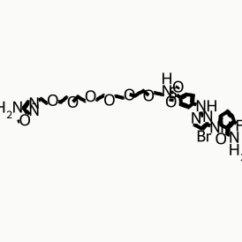 COc1nn(CCOCCOCCOCCOCCOCCOCCNS(=O)(=O)c2ccc(Nc3ncc(Br)c(Nc4cccc(F)c4C(N)=O)n3)cc2)cc1N